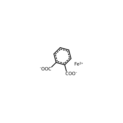 O=C([O-])c1ccccc1C(=O)[O-].[Fe+2]